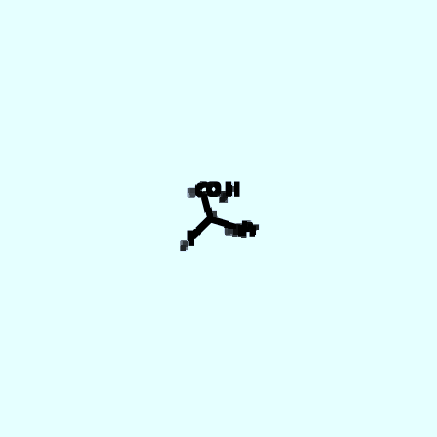 CCCC(I)C(=O)O